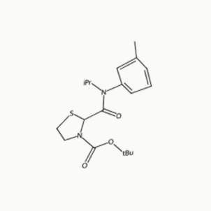 Cc1cccc(N(C(=O)C2SCCN2C(=O)OC(C)(C)C)C(C)C)c1